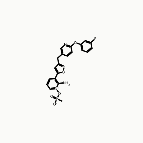 CP(=O)([O-])O[n+]1cccc(-c2cc(Cc3ccc(Oc4cccc(F)c4)nc3)no2)c1N